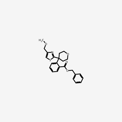 COCc1csc(C2(c3ccccc3C(=O)OCc3ccccc3)CCOCC2)n1